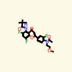 COCCN(C(C)=O)c1ccc(-c2cc(=O)c3c(NC(=O)C(C)(C)C)c(F)cc(F)c3o2)cc1F